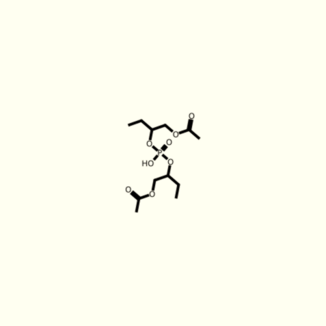 CCC(COC(C)=O)OP(=O)(O)OC(CC)COC(C)=O